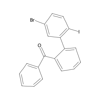 O=C(c1ccccc1)c1ccccc1-c1cc(Br)ccc1I